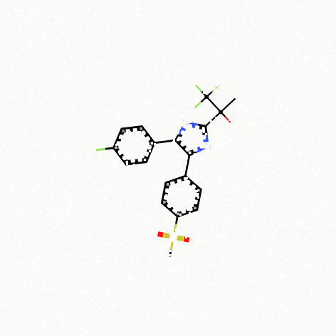 CC(O)(c1nc(-c2ccc(F)cc2)c(-c2ccc(S(C)(=O)=O)cc2)[nH]1)C(F)(F)F